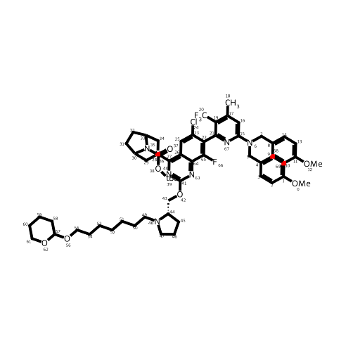 COc1ccc(CN(Cc2ccc(OC)cc2)c2cc(C)c(C(F)(F)F)c(-c3c(Cl)cc4c(N5CC6CCC(C5)N6C(=O)OC(C)(C)C)nc(OC[C@@H]5CCCN5CCCCCCCOC5CCCCO5)nc4c3F)n2)cc1